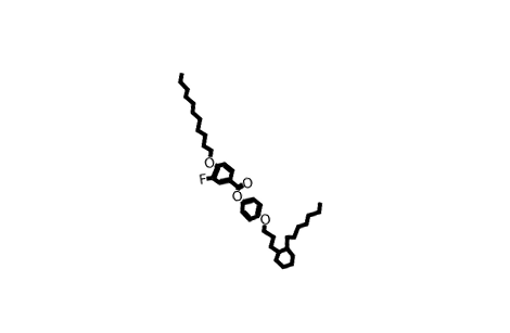 CCCCCCCCCCCOc1ccc(C(=O)Oc2ccc(OCCCC3CCCCC3CCCCCCC)cc2)cc1F